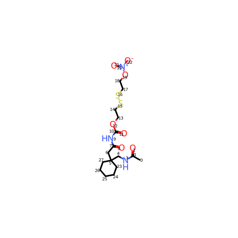 CC(=O)NCC1(CC(=O)NC(=O)OCCSSCCO[N+](=O)[O-])CCCCC1